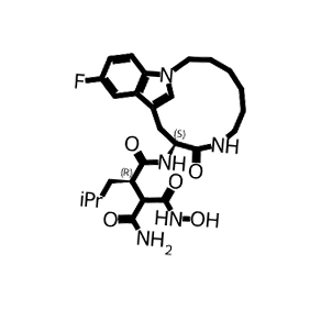 CC(C)C[C@@H](C(=O)N[C@H]1Cc2cn(c3ccc(F)cc23)CCCCCCNC1=O)C(C(N)=O)C(=O)NO